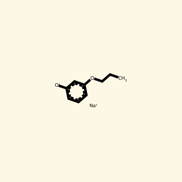 CCCOc1cccc([O-])c1.[Na+]